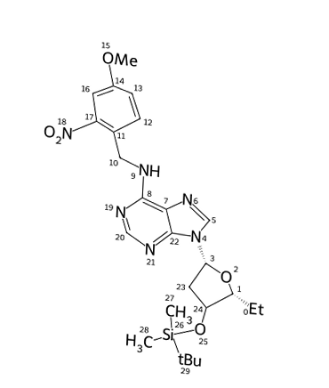 CC[C@H]1O[C@@H](n2cnc3c(NCc4ccc(OC)cc4[N+](=O)[O-])ncnc32)CC1O[Si](C)(C)C(C)(C)C